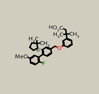 COc1ccc(F)c(-c2ccc(COc3cccc(C(C)(C)CC(=O)O)c3)cc2[C@@H]2CCCC2(C)C)c1